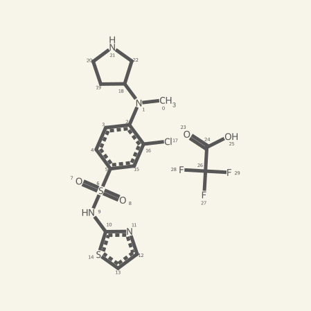 CN(c1ccc(S(=O)(=O)Nc2nccs2)cc1Cl)C1CCNC1.O=C(O)C(F)(F)F